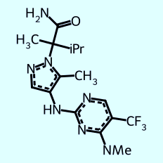 CNc1nc(Nc2cnn(C(C)(C(N)=O)C(C)C)c2C)ncc1C(F)(F)F